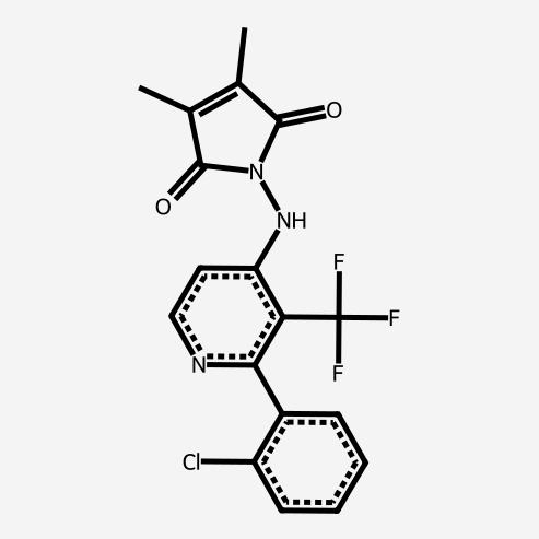 CC1=C(C)C(=O)N(Nc2ccnc(-c3ccccc3Cl)c2C(F)(F)F)C1=O